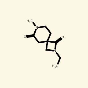 CCN1CC2(CCN(C)C(=O)C2)C1=O